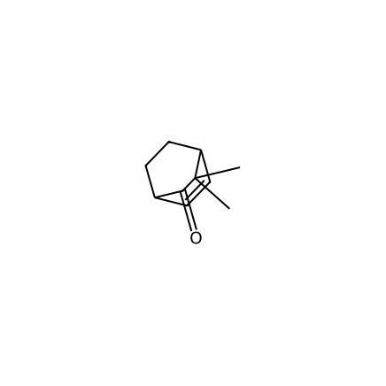 CC1(C)C(=O)C2C=CC1CC2